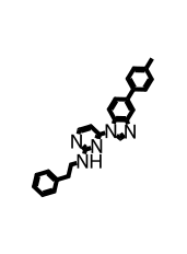 Cc1ccc(-c2ccc3c(c2)ncn3-c2ccnc(NCCc3ccccc3)n2)cc1